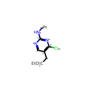 CCOC(=O)Cc1cnc(NC(C)C)nc1Cl